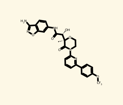 C[C@]1([C@@H](O)C(=O)Nc2ccc3c(N)noc3c2)OCCN(c2cccc(-c3ccc(OC(F)(F)F)cc3)n2)C1=O